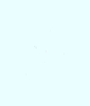 COc1cccc2c1c(C(=O)C1C(C)(C)C1(C)C)cn2CC1CCOCC1